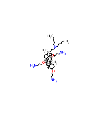 CCCCCN(CCCCC)CCCC(C)C1CC[C@H]2[C@@H]3[C@H](OCCCN)C[C@@H]4C[C@H](OCCCN)CC[C@]4(C)[C@H]3C[C@H](OCCCN)[C@]12C